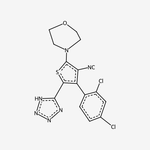 [C-]#[N+]c1c(N2CCOCC2)sc(-c2nnn[nH]2)c1-c1ccc(Cl)cc1Cl